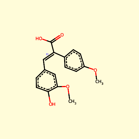 COc1ccc(/C(=C\c2ccc(O)c(OC)c2)C(=O)O)cc1